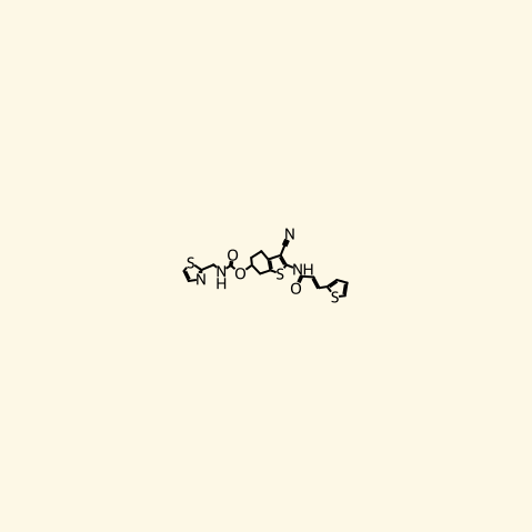 N#Cc1c(NC(=O)C=Cc2cccs2)sc2c1CCC(OC(=O)NCc1nccs1)C2